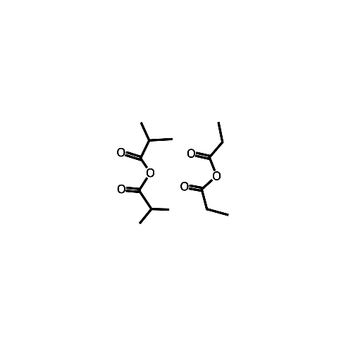 CC(C)C(=O)OC(=O)C(C)C.CCC(=O)OC(=O)CC